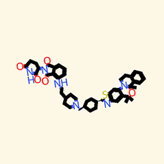 CC1(C)OC2(C)c3ccccc3CCN2c2cc3sc([C@H]4CC[C@H](CN5CCC(CCNc6cccc7c6C(=O)N(C6CCC(=O)NC6=O)C7=O)CC5)CC4)nc3cc21